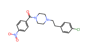 O=C(c1ccc([N+](=O)[O-])cc1)N1CCN(CCc2ccc(Cl)cc2)CC1